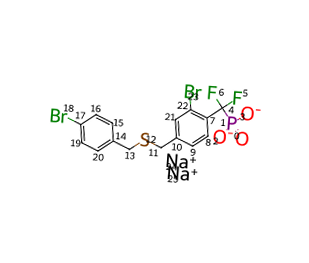 O=P([O-])([O-])C(F)(F)c1ccc(CSCc2ccc(Br)cc2)cc1Br.[Na+].[Na+]